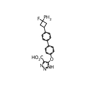 O=C(O)c1nn[nH]c1Oc1ccc(-c2ccc(C3CC(F)(P)C3)cc2)cc1